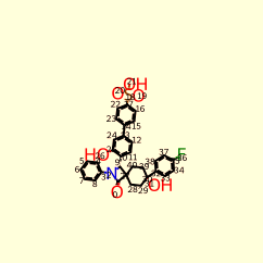 O=C1N(c2ccccc2)[C@H](c2ccc(-c3ccc(S(=O)(=O)O)cc3)cc2O)C12CCC(O)(c1ccc(F)cc1)CC2